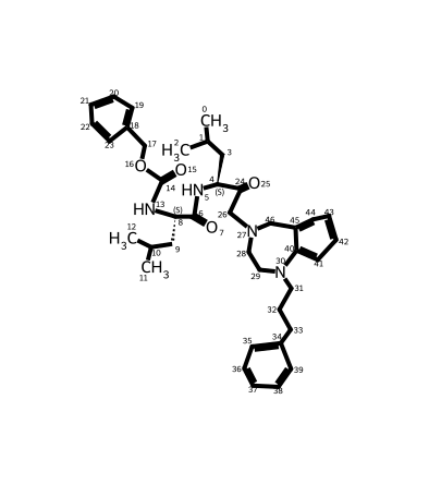 CC(C)C[C@H](NC(=O)[C@H](CC(C)C)NC(=O)OCc1ccccc1)C(=O)CN1CCN(CCCc2ccccc2)c2ccccc2C1